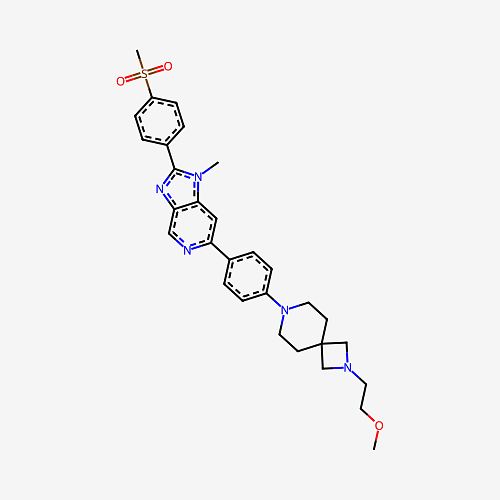 COCCN1CC2(CCN(c3ccc(-c4cc5c(cn4)nc(-c4ccc(S(C)(=O)=O)cc4)n5C)cc3)CC2)C1